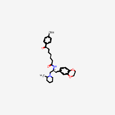 COc1ccc(C(=O)CCCCCC(=O)N[C@@H](Cc2ccc3c(c2)OCCO3)CN2CCCCC2C)cc1